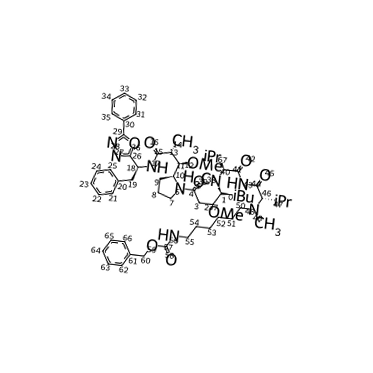 CC[C@H](C)[C@@H]([C@@H](CC(=O)N1CCC[C@H]1[C@H](OC)[C@@H](C)C(=O)N[C@@H](Cc1ccccc1)c1nnc(-c2ccccc2)o1)OC)N(C)[C@H](C(=O)NC(=O)[C@H](C(C)C)N(C)CCCCCCNC(=O)OCc1ccccc1)C(C)C